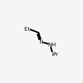 CC/C=N/NC(C)C